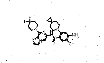 Cc1cc(C(=O)Nc2cn3ccnc3c(N3CCC(F)(F)CC3)n2)c(N2CCC3(CC2)CC3)cc1N